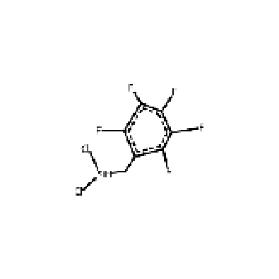 Fc1c(F)c(F)c(C[SiH](Cl)Cl)c(F)c1F